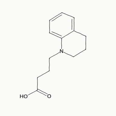 O=C(O)CCCN1CCCc2ccccc21